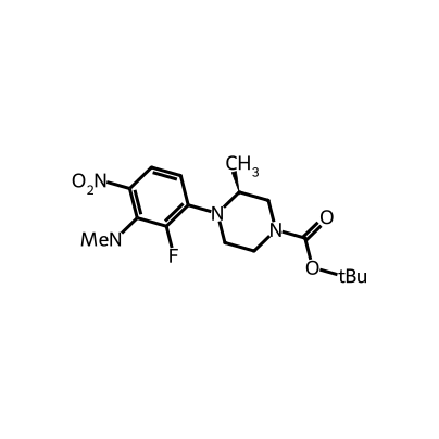 CNc1c([N+](=O)[O-])ccc(N2CCN(C(=O)OC(C)(C)C)C[C@@H]2C)c1F